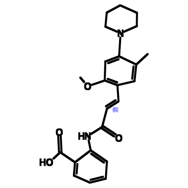 COc1cc(N2CCCCC2)c(C)cc1/C=C/C(=O)Nc1ccccc1C(=O)O